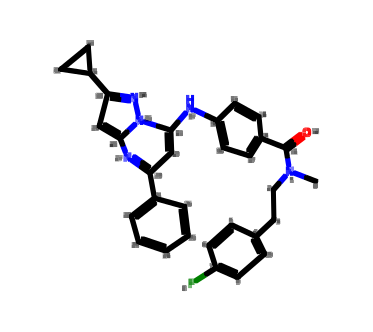 CN(CCc1ccc(F)cc1)C(=O)c1ccc(Nc2cc(-c3ccccc3)nc3cc(C4CC4)nn23)cc1